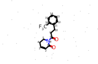 O=C1C=CCCN1C(=O)CCc1ccccc1C(F)(F)F